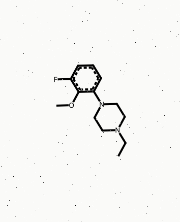 CCN1CCN(c2cccc(F)c2OC)CC1